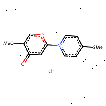 COc1coc(-[n+]2ccc(SC)cc2)cc1=O.[Cl-]